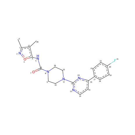 Cc1noc(NC(=O)N2CCN(c3nccc(-c4ccc(F)cc4)n3)CC2)c1C